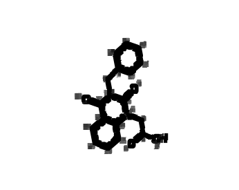 O=C(O)Cn1c(=O)n(Cc2ccccc2)c(=O)c2ccccc21